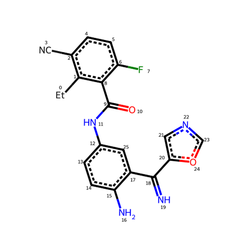 CCc1c(C#N)ccc(F)c1C(=O)Nc1ccc(N)c(C(=N)c2cnco2)c1